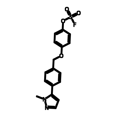 Cn1nccc1-c1ccc(COc2ccc(OS(=O)(=O)F)cc2)cc1